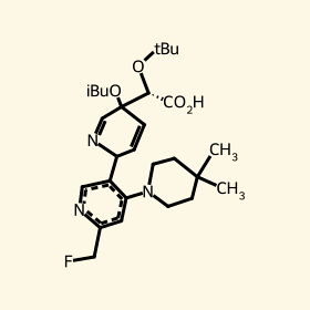 CC(C)COC1([C@H](OC(C)(C)C)C(=O)O)C=CC(c2cnc(CF)cc2N2CCC(C)(C)CC2)N=C1